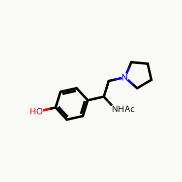 CC(=O)NC(CN1CCCC1)c1ccc(O)cc1